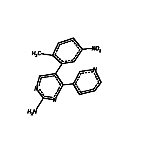 Cc1ccc([N+](=O)[O-])cc1-c1cnc(N)nc1-c1cccnc1